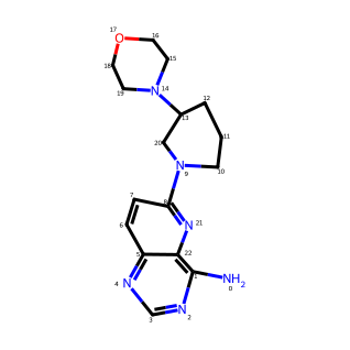 Nc1ncnc2ccc(N3CCCC(N4CCOCC4)C3)nc12